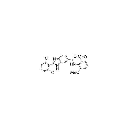 COc1cccc(OC)c1NC(=O)c1ccc2nc(-c3c(Cl)cccc3Cl)[nH]c2c1